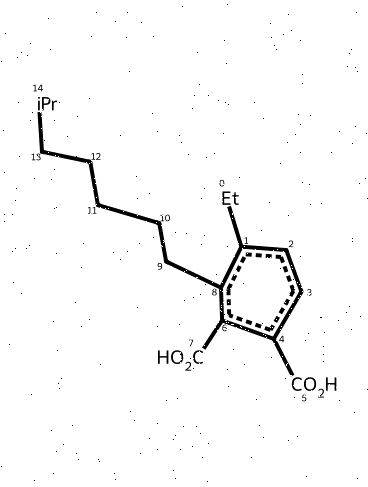 CCc1ccc(C(=O)O)c(C(=O)O)c1CCCCCC(C)C